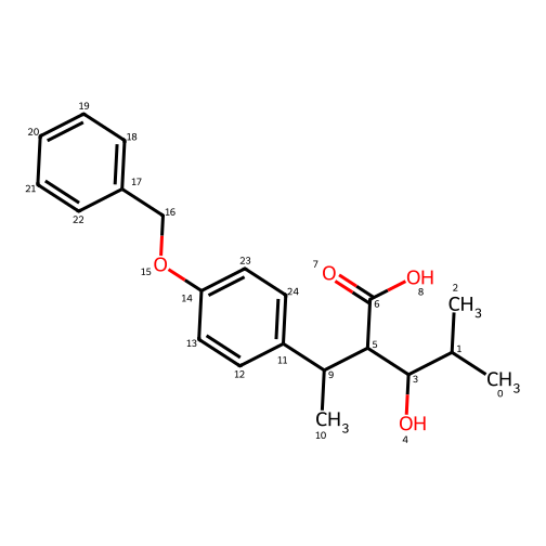 CC(C)C(O)C(C(=O)O)C(C)c1ccc(OCc2ccccc2)cc1